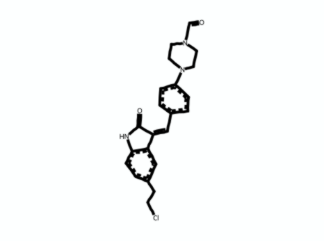 O=CN1CCN(c2ccc(C=C3C(=O)Nc4ccc(CCCl)cc43)cc2)CC1